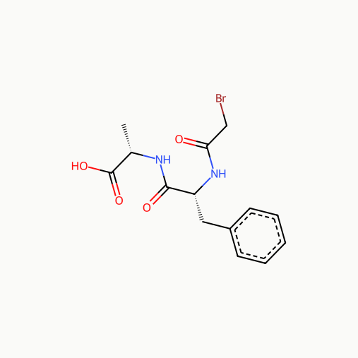 C[C@H](NC(=O)[C@@H](Cc1ccccc1)NC(=O)CBr)C(=O)O